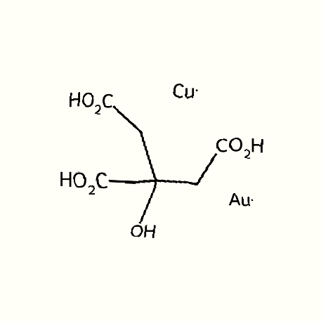 O=C(O)CC(O)(CC(=O)O)C(=O)O.[Au].[Cu]